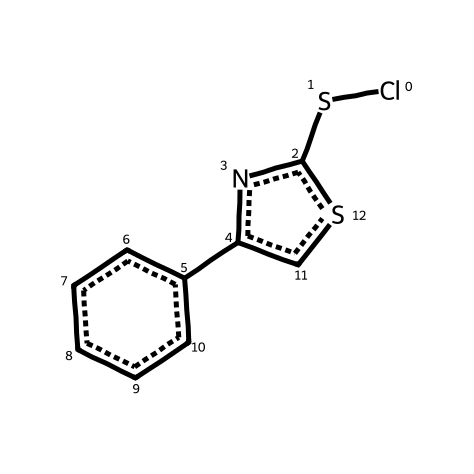 ClSc1nc(-c2ccccc2)cs1